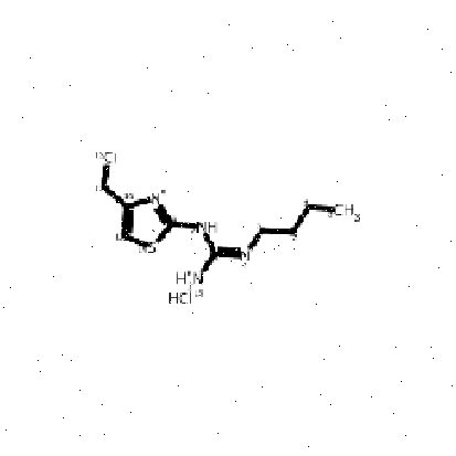 CCCC/N=C(/N)Nc1nc(CCl)cs1.Cl